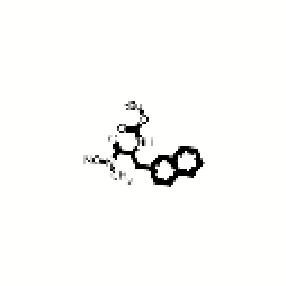 CN(C#N)C(=O)C(Cc1ccc2ccccc2c1)NC(=O)OC(C)(C)C